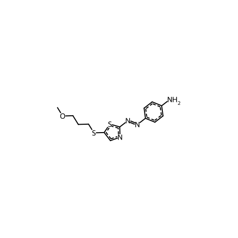 COCCCSc1cnc(/N=N/c2ccc(N)cc2)s1